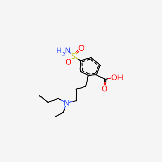 CCCN(CC)CCCc1cc(S(N)(=O)=O)ccc1C(=O)O